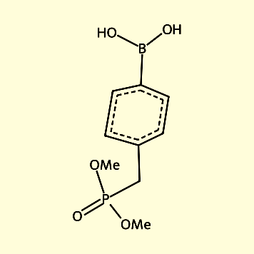 COP(=O)(Cc1ccc(B(O)O)cc1)OC